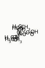 C[C@@H](C(=O)O)N(C)C(=O)CCC(=O)N(CCOCCOCCC(=O)O)C1CCN(C(=O)OC(C)(C)C)CC1